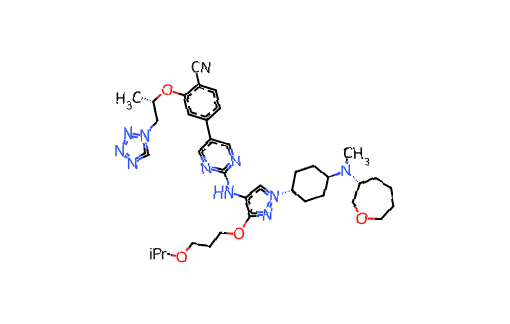 CC(C)OCCCOc1nn([C@H]2CC[C@H](N(C)[C@@H]3CCCCOC3)CC2)cc1Nc1ncc(-c2ccc(C#N)c(O[C@@H](C)Cn3cnnn3)c2)cn1